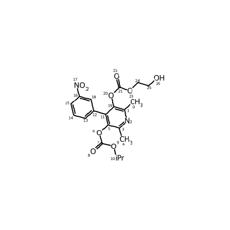 Cc1nc(C)c(OC(=O)OC(C)C)c(-c2cccc([N+](=O)[O-])c2)c1OC(=O)OCCO